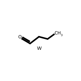 CCCC=O.[W]